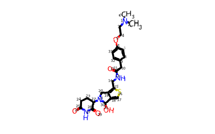 CN(C)CCOc1ccc(CC(=O)NCc2scc3c2CN(C2CCC(=O)NC2=O)C3O)cc1